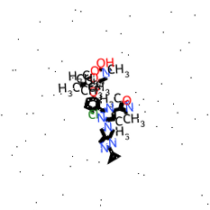 Cc1noc(C)c1-c1nc(-c2cc(OC[C@@H](CN(C)C(=O)O)O[Si](C)(C)C(C)(C)C)ccc2Cl)nc(N2Cc3cnc(C4CC4)nc3C2)c1C